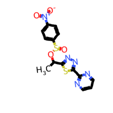 CC(OS(=O)c1ccc([N+](=O)[O-])cc1)c1nnc(-c2ncccn2)s1